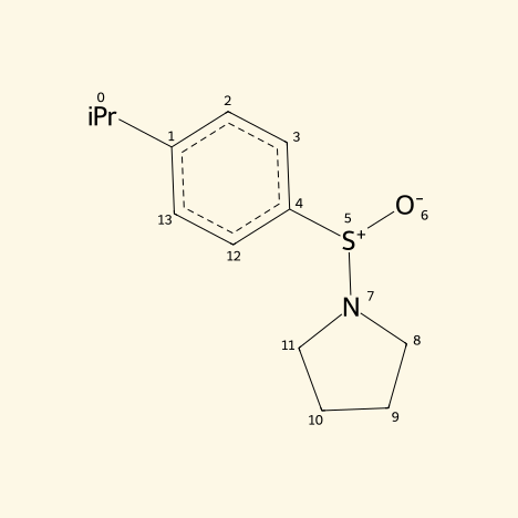 CC(C)c1ccc([S+]([O-])N2CCCC2)cc1